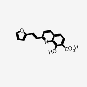 O=C(O)c1ccc2ccc(C=Cc3ccco3)nc2c1O